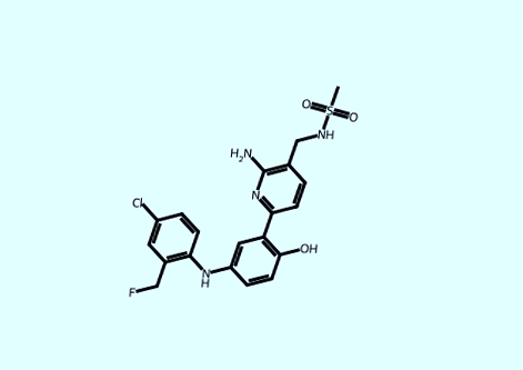 CS(=O)(=O)NCc1ccc(-c2cc(Nc3ccc(Cl)cc3CF)ccc2O)nc1N